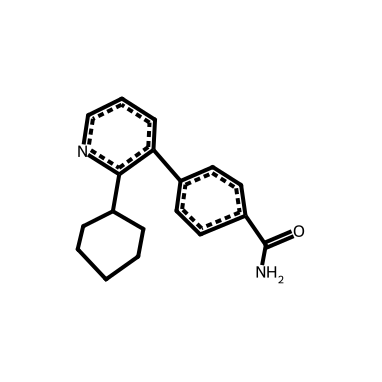 NC(=O)c1ccc(-c2cccnc2C2CCCCC2)cc1